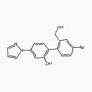 OCc1cc(Br)ccc1-c1ccc(-n2cccn2)cc1O